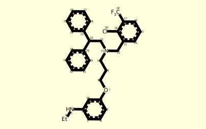 CCNc1cccc(OCCCN(Cc2cccc(C(F)(F)F)c2Cl)CC(c2ccccc2)c2ccccc2)c1